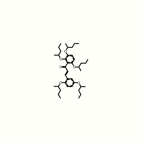 CCCC(C)Oc1ccc(OC(C)CCC)c(C=CC(=O)c2c(OC(C)CCC)ccc(OC(C)CCC)c2OC(C)CCC)c1